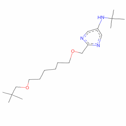 CC(C)(C)COCCCCCCOCc1ncc(NC(C)(C)C)cn1